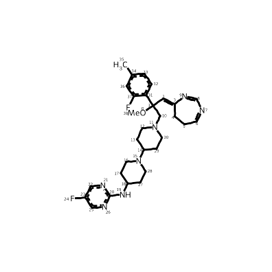 COC(/C=C1\CCC=NC=N1)(CN1CCC(N2CCC(Nc3ncc(F)cn3)CC2)CC1)c1ccc(C)cc1F